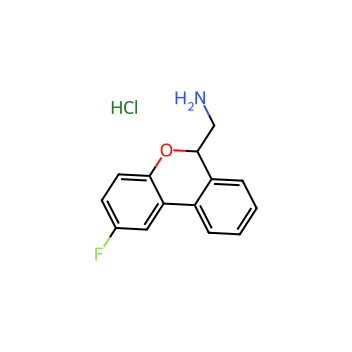 Cl.NCC1Oc2ccc(F)cc2-c2ccccc21